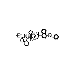 C[CH]C(=O)N[C@H](C(=O)N1CCC[C@H]1c1nc(-c2ccc(OCc3ccccc3)c3ccccc23)cs1)C1CCCCC1